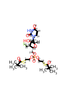 CC(C)(C)C(=O)SCCOP(=O)(OCCSC(=O)C(C)(C)C)OC[C@H]1O[C@H]2C(n3ccc(=O)[nH]c3=O)[C@@]2(O)[C@@H]1CF